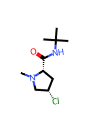 CN1C[C@@H](Cl)C[C@H]1C(=O)NC(C)(C)C